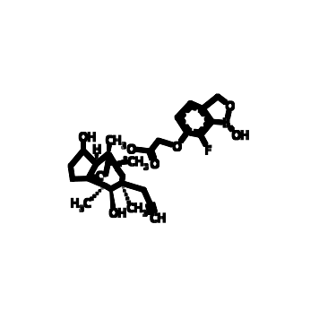 C#CC[C@]1(C)C[C@@H](OC(=O)COc2ccc3c(c2F)B(O)OC3)[C@]2(C)[C@H](C)CC[C@]3(CCC(O)[C@H]32)[C@@H](C)[C@@H]1O